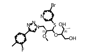 CO[C@@H](Cn1cc(-c2ccc(C)c(F)c2)nn1)C(OC(CO)[C@@H](C)O)Sc1cncc(Br)c1